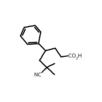 CC(C)(C#N)CC(CCC(=O)O)c1ccccc1